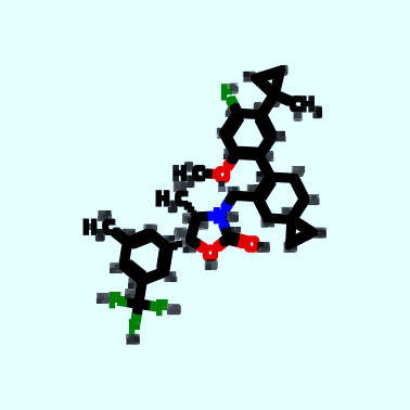 COc1cc(F)c(C2(C)CC2)cc1C1=C(CN2C(=O)O[C@H](c3cc(C)cc(C(F)(F)F)c3)[C@@H]2C)CC2(CC1)CC2